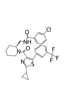 O=C(NC[C@@H]1CCCCN1C(=O)c1nc(C2CC2)sc1-c1cccc(C(F)(F)F)c1)c1cccc(Cl)c1